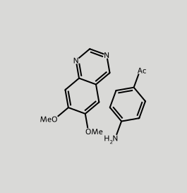 CC(=O)c1ccc(N)cc1.COc1cc2cncnc2cc1OC